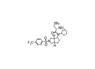 CC(C)(C)C[C@H](N)C(=O)N(C1CCCC1)[C@H]1CC[C@@H]2CN(S(=O)(=O)c3ccc(C(F)(F)F)cc3)C[C@@H]21